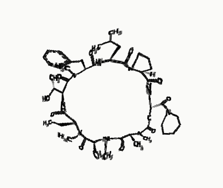 CC[C@H]1C(=O)N[C@@H]([C@@H](C)O)C(=O)N(C)[C@@H](Cc2ccccc2)C(=O)N[C@@H](CC(C)C)C(=O)N2CCC[C@H]2C(=O)N[C@H](C(=O)N2CCCCC2)CC(=O)N(C)[C@@H](C)C(=O)N(C)[C@@H](C)C(=O)N1C